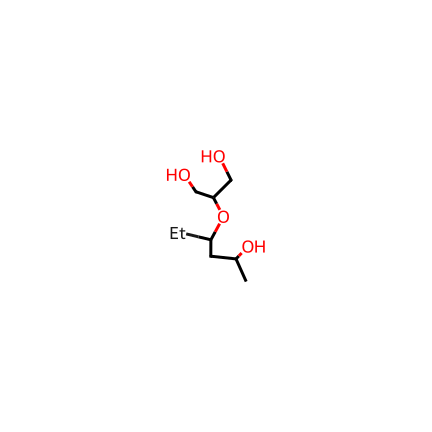 CCC(CC(C)O)OC(CO)CO